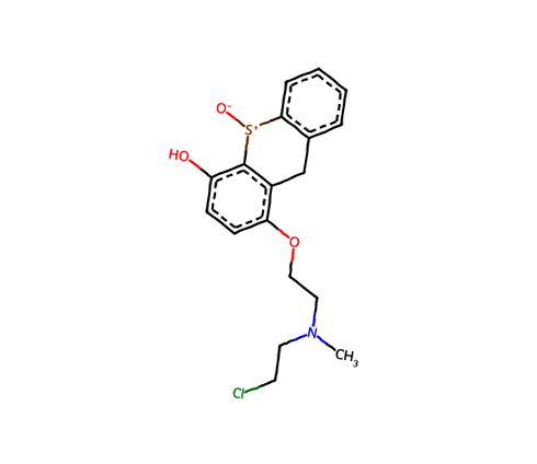 CN(CCCl)CCOc1ccc(O)c2c1Cc1ccccc1[S+]2[O-]